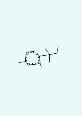 Cc1cnc(C(C)(C)CN)c(Cl)c1